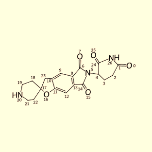 O=C1CCC(N2C(=O)c3cc4c(cc3C2=O)OC2(CCNCC2)C4)C(=O)N1